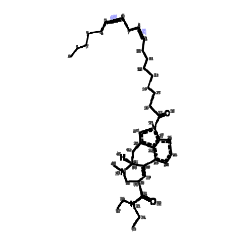 CCCCC/C=C\C/C=C\CCCCCCCC(=O)n1cc2c3c(cccc31)C1=C[C@@H](C(=O)N(CC)CC)CN(C)[C@@H]1C2